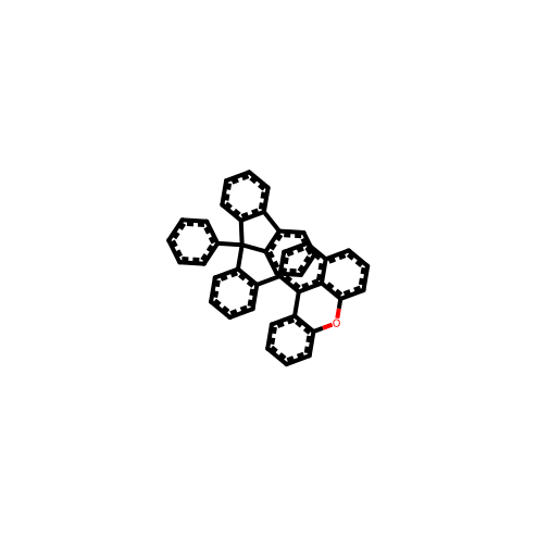 c1ccc(C2(c3ccccc3-c3ccc4cccc5c4c3-c3ccccc3O5)c3ccccc3-c3ccccc32)cc1